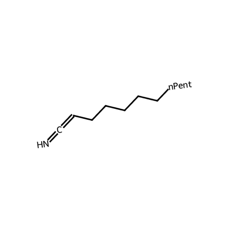 CCCCCCCCCCC=C=N